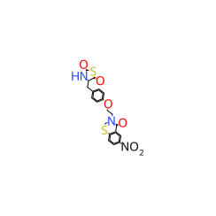 O=C1NC(Cc2ccc(OCCN3CSc4ccc([N+](=O)[O-])cc4C3=O)cc2)C(=O)S1